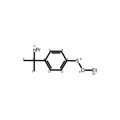 CCCC(C)(C)c1ccc(SOCC)cc1